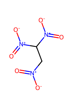 O=[N+]([O-])C[C]([N+](=O)[O-])[N+](=O)[O-]